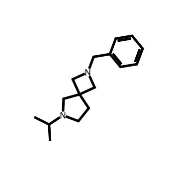 CC(C)N1CCC2(CN(Cc3ccccc3)C2)C1